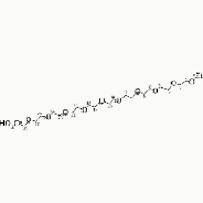 CCOCCOCCOCCOCCOCCOCCOCCOCCOCCOCC(=O)O